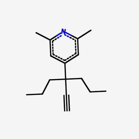 C#CC(CCC)(CCC)c1cc(C)nc(C)c1